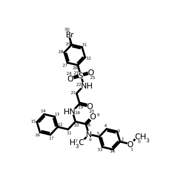 COc1ccc(N(C)C(=O)C(Cc2ccccc2)NC(=O)CNS(=O)(=O)c2ccc(Br)cc2)cc1